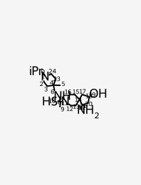 CC(C)N1CCC(C)(CNC(C)(S)N2CCC3(CC2)CC(O)CC3N)CC1